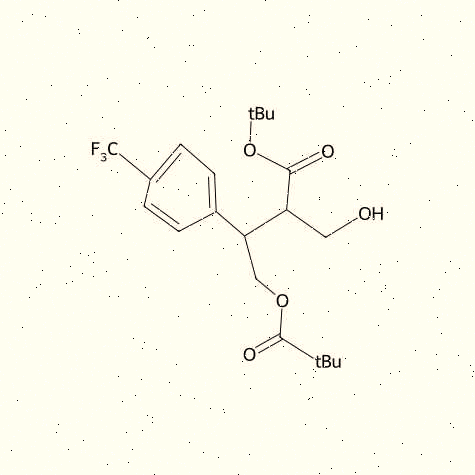 CC(C)(C)OC(=O)C(CO)C(COC(=O)C(C)(C)C)c1ccc(C(F)(F)F)cc1